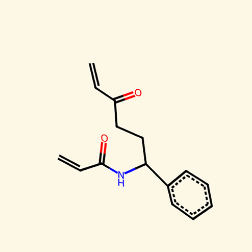 C=CC(=O)CCC(NC(=O)C=C)c1ccccc1